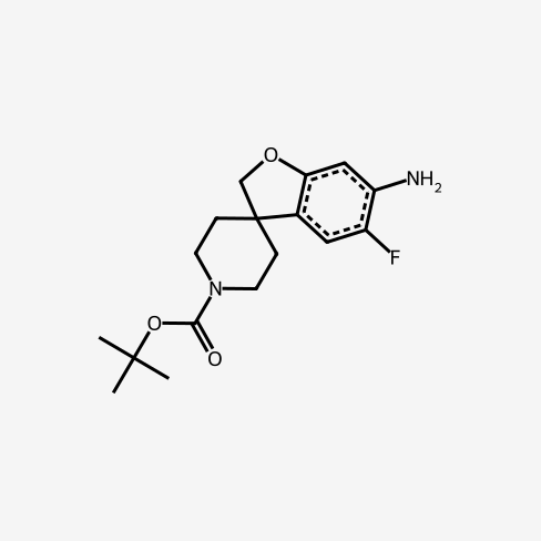 CC(C)(C)OC(=O)N1CCC2(CC1)COc1cc(N)c(F)cc12